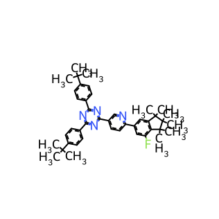 CC(C)(C)c1ccc(-c2nc(-c3ccc(C(C)(C)C)cc3)nc(-c3ccc(-c4cc(F)c5c(c4)C(C)(C)C(C)(C)C5(C)C)nc3)n2)cc1